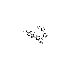 Cc1cn(-c2cc(Oc3cnc(NC(=O)N4CCN(C)C4=O)cc3C)ccn2)cn1